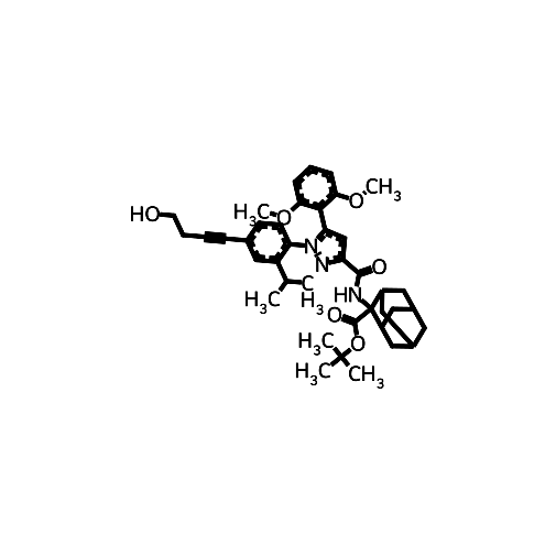 COc1cccc(OC)c1-c1cc(C(=O)NC2(C(=O)OC(C)(C)C)C3CC4CC(C3)CC2C4)nn1-c1ccc(C#CCCO)cc1C(C)C